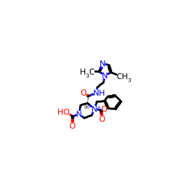 Cc1cnc(C)n1CCNC(=O)[C@H]1CN(C(=O)O)CC[N+]1(Cc1ccccc1)C(=O)[O-]